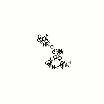 CC[C@H]1OC(=O)[C@H](C)[C@@H](O[C@H]2C[C@@](O)(OC)[C@@H](NC(=O)CCOCCNc3cc4c(=O)c(C(=O)O)cn(C5CC5)c4cc3Cl)[C@H](C)O2)[C@H](C)[C@@H](O[C@@H]2O[C@H](C)C[C@H](N(C)C)[C@H]2O)[C@](C)(O)C[C@@H](C)CN(C)[C@H](C)[C@@H]2OC(=O)O[C@]12C